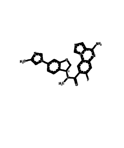 Cc1cn(-c2ccc3c(c2)OC[C@H]3N(C)C(=O)c2cc3c(cc2F)nc(N)c2cncn23)cn1